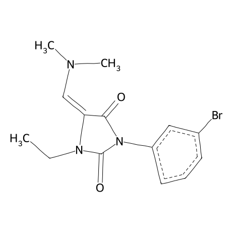 CCN1C(=O)N(c2cccc(Br)c2)C(=O)C1=CN(C)C